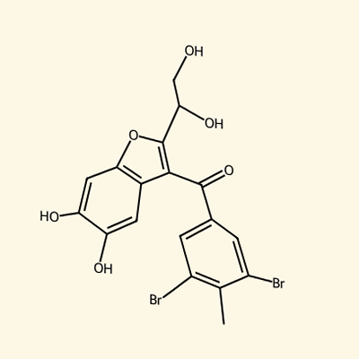 Cc1c(Br)cc(C(=O)c2c(C(O)CO)oc3cc(O)c(O)cc23)cc1Br